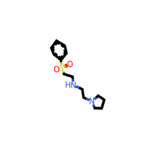 O=S(=O)(CCNCCN1CCCC1)c1ccccc1